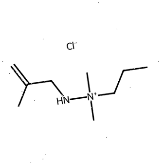 C=C(C)CN[N+](C)(C)CCC.[Cl-]